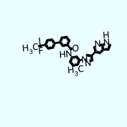 Cc1ccc(NC(=O)c2cccc(-c3ccc(C(C)(F)I)cc3)c2)cc1-n1cc(-c2cnc3[nH]ccc3c2)cn1